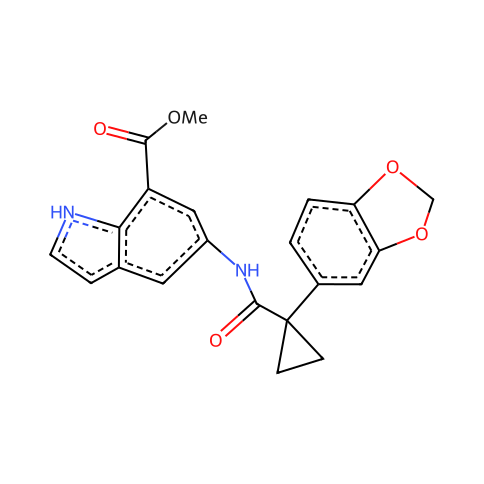 COC(=O)c1cc(NC(=O)C2(c3ccc4c(c3)OCO4)CC2)cc2cc[nH]c12